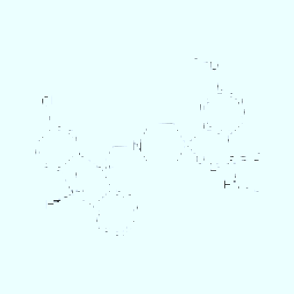 CNS(=O)(=O)c1ccc(OC)cc1C1(O)CCN(C[C@@]23C[C@H](c4ccccc42)c2ccc(Cl)cc23)CC1